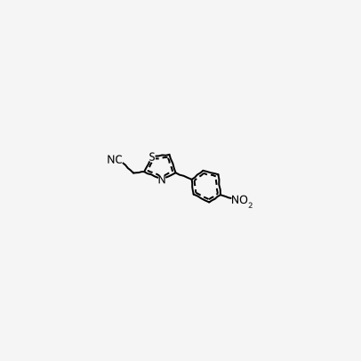 N#CCc1nc(-c2ccc([N+](=O)[O-])cc2)cs1